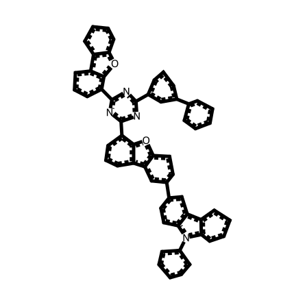 c1ccc(-c2cccc(-c3nc(-c4cccc5c4oc4ccccc45)nc(-c4cccc5c4oc4ccc(-c6ccc7c(c6)c6ccccc6n7-c6ccccc6)cc45)n3)c2)cc1